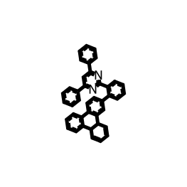 C1=CC2c3ccccc3-c3ccc(-c4ccccc4-c4nc(-c5ccccc5)cc(-c5ccccc5)n4)cc3C2C=C1